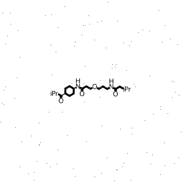 CC(C)CC(=O)NCCCOCCC(=O)N[C@H]1CC[C@@H](C(=O)C(C)C)CC1